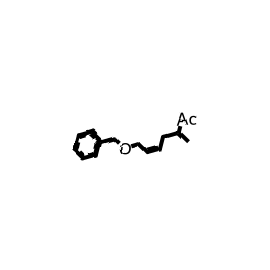 CC(=O)C(C)C/C=C\COCc1ccccc1